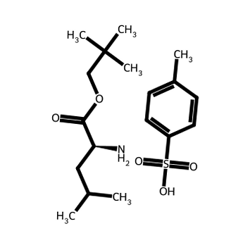 CC(C)C[C@H](N)C(=O)OCC(C)(C)C.Cc1ccc(S(=O)(=O)O)cc1